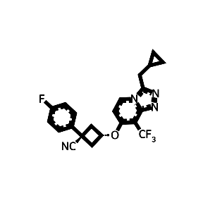 N#C[C@]1(c2ccc(F)cc2)C[C@@H](Oc2ccn3c(CC4CC4)nnc3c2C(F)(F)F)C1